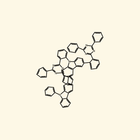 c1ccc(-c2nc(-c3ccccc3)nc(-c3ccccc3-c3ccc4c(c3)c3cc(-c5ccc6c7ccccc7n(-c7ccccc7)c6c5)ccc3n4-c3ccccc3-c3nc(-c4ccccc4)nc(-c4ccccc4)n3)n2)cc1